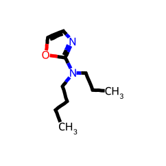 CCCCN(CCC)c1ncco1